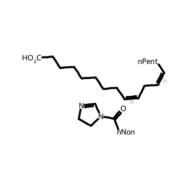 CCCCC/C=C\C/C=C\CCCCCCCC(=O)O.CCCCCCCCCC(=O)N1C=NCC1